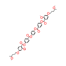 COc1cc(OCCCC(C)OC)ccc1C(=O)Oc1ccc(C(=O)Oc2ccc(OC(=O)c3ccc(OC(=O)c4ccc(OCCCC(C)OC)cc4OC)cc3)cc2)cc1